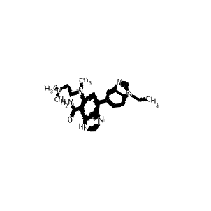 CCN1C=NC2=CC(c3cc(N(C)CCN(C)C)c(C(N)=O)c4[nH]cnc34)=CCC21